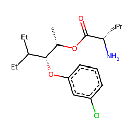 CCC(CC)[C@@H](Oc1cccc(Cl)c1)[C@H](C)OC(=O)[C@@H](N)C(C)C